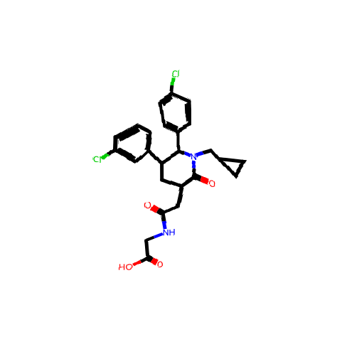 O=C(O)CNC(=O)CC1CC(c2cccc(Cl)c2)C(c2ccc(Cl)cc2)N(CC2CC2)C1=O